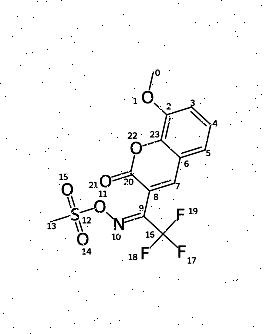 COc1cccc2cc(/C(=N\OS(C)(=O)=O)C(F)(F)F)c(=O)oc12